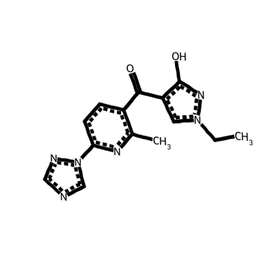 CCn1cc(C(=O)c2ccc(-n3cncn3)nc2C)c(O)n1